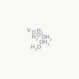 O.O.O.O.O.[V]